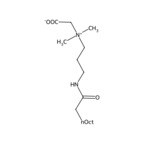 CCCCCCCCCC(=O)NCCC[N+](C)(C)CC(=O)[O-]